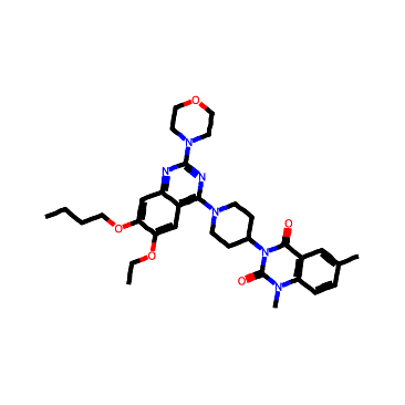 CCCCOc1cc2nc(N3CCOCC3)nc(N3CCC(n4c(=O)c5cc(C)ccc5n(C)c4=O)CC3)c2cc1OCC